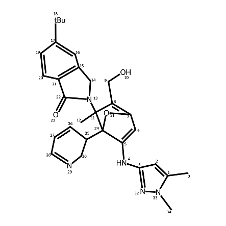 Cc1cc(NC2=CC3=C(CO)C(C)(N4Cc5cc(C(C)(C)C)ccc5C4=O)C2(C2C=CC=NC2)O3)nn1C